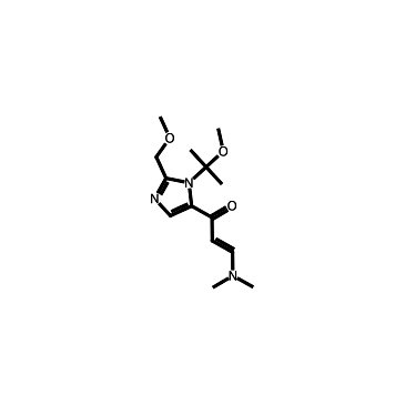 COCc1ncc(C(=O)C=CN(C)C)n1C(C)(C)OC